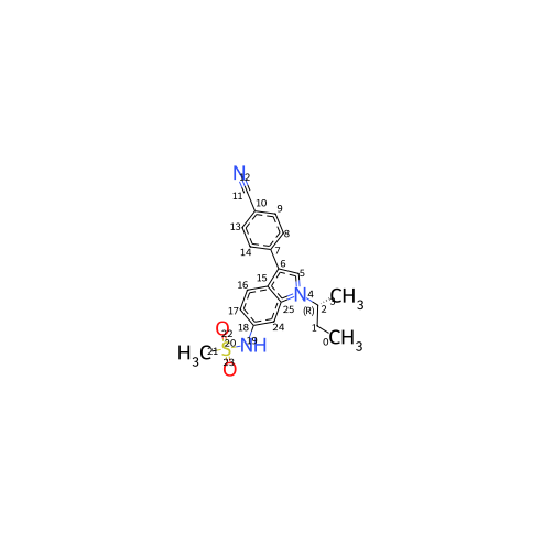 CC[C@@H](C)n1cc(-c2ccc(C#N)cc2)c2ccc(NS(C)(=O)=O)cc21